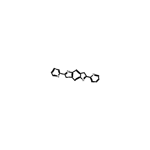 c1ccc(C2=Nc3cc4c(cc3C2)N=C(c2ccccn2)C4)nc1